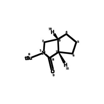 CC(C)(C)N1C[C@@H]2CCC[C@@H]2C1=O